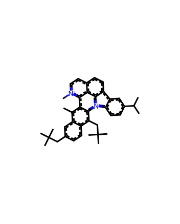 Cc1c2cc(CC(C)(C)C)ccc2c(CC(C)(C)C)c2c1c1c3c(ccc4c5cc(C(C)C)ccc5n2c43)cc[n+]1C